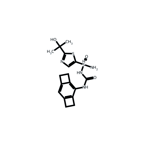 CC(C)(O)c1ncc([SH](N)(=O)NC(=O)Nc2c3c(cc4c2CC4)CC3)s1